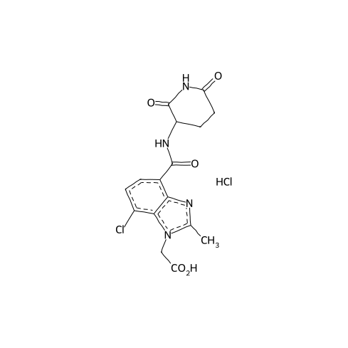 Cc1nc2c(C(=O)NC3CCC(=O)NC3=O)ccc(Cl)c2n1CC(=O)O.Cl